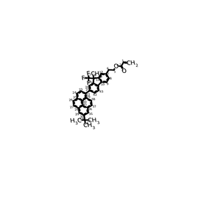 C=CC(=O)OCCc1ccc2c(c1)C(C)(C(F)(F)F)c1cc(-c3ccc4ccc5cc(C(C)(C)C)cc6ccc3c4c56)ccc1-2